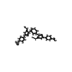 CCn1cc(-c2ccc(OC)cc2)nc1-c1cccc(-c2nc(-c3ccc(OC)cc3)cn2CC)c1